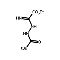 CCOC(=O)C(=N)NNC(=O)C(C)(C)C